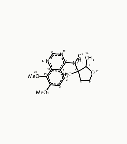 COc1ccc2c(N(C)C3(C)CCOC3C)ncnc2c1OC